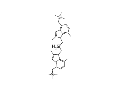 CC1=Cc2c(C[Si](C)(C)C)ccc(C)c2C1C[SiH2]CC1C(C)=Cc2c(C[Si](C)(C)C)ccc(C)c21